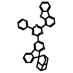 c1ccc(-c2nc(-c3cnc4c(c3)-c3ccccc3C43C4CC5CC(C4)CC3C5)nc(-c3cccc4c3sc3ccccc34)n2)cc1